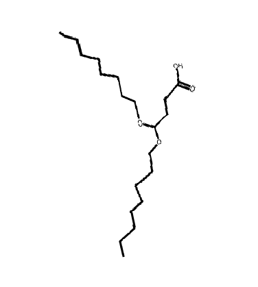 CCCCCCCCOC(CCC(=O)O)OCCCCCCCC